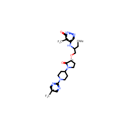 COCC(CO[C@@H]1CCN(C2CCN(c3ncc(C(F)(F)F)cn3)CC2)C1=O)Nc1cn[nH]c(=O)c1C(F)(F)F